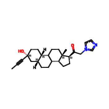 CC#C[C@@]1(O)CC[C@@H]2C3CC[C@@]4(C)C(CC[C@@H]4C(=O)Cn4ccnc4)C3CC[C@@H]2C1